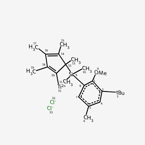 COc1c(C(C)(C)C)cc(C)cc1[Si](C)(C)C1(C)C(C)=C(C)C(C)=[C]1[Ti+2].[Cl-].[Cl-]